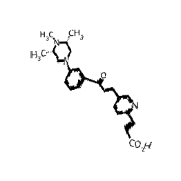 C[C@@H]1CN(c2cccc(C(=O)C=Cc3ccc(C=CC(=O)O)nc3)c2)C[C@H](C)N1C